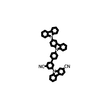 N#Cc1cc(-c2ccc(-n3c4ccccc4c4cc(-n5c6ccccc6c6ccccc65)ccc43)cc2)cc(-n2c3ccccc3c3ccc(C#N)cc32)c1